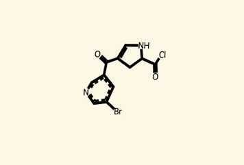 O=C(C1=CNC(C(=O)Cl)C1)c1cncc(Br)c1